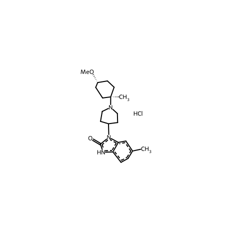 CO[C@H]1CC[C@](C)(N2CCC(n3c(=O)[nH]c4ccc(C)cc43)CC2)CC1.Cl